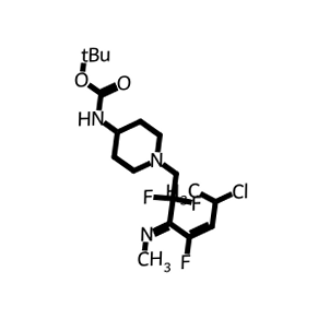 C/N=C(\C(F)=C/C(C)Cl)C(F)(F)CN1CCC(NC(=O)OC(C)(C)C)CC1